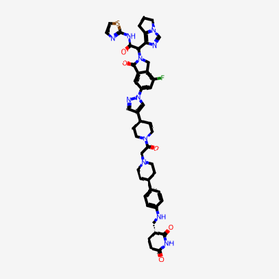 O=C1CC[C@H](CNc2ccc(C3CCN(CC(=O)N4CCC(c5cnn(-c6cc(F)c7c(c6)C(=O)N(C(C(=O)Nc6nccs6)c6ncn8c6CCC8)C7)c5)CC4)CC3)cc2)C(=O)N1